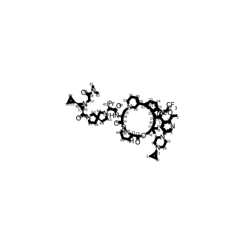 CO[C@@H](C)c1ncc(N2CCN(C3CC3)CC2)cc1-c1c2c3cc(ccc3n1CC(F)(F)F)C1=CCCN(C1)C[C@H](NC(=O)[C@H](C(C)C)N1CC[C@]3(CCN(C(=O)[C@H]4[C@@H](C5CC5)N4CC(=O)N(C)C)C3)C1)C(=O)N1CCC[C@H](N1)C(=O)OCC(C)(C)C2